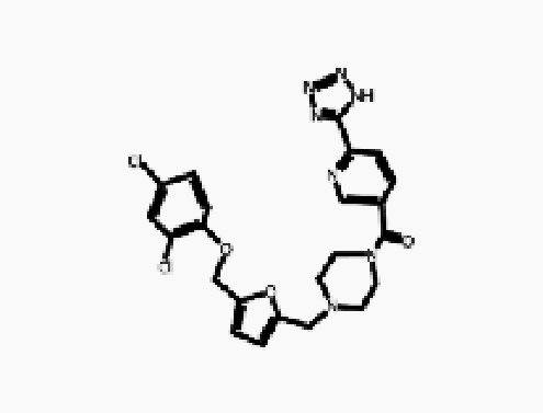 O=C(c1ccc(-c2nnn[nH]2)nc1)N1CCN(Cc2ccc(COc3ccc(Cl)cc3Cl)o2)CC1